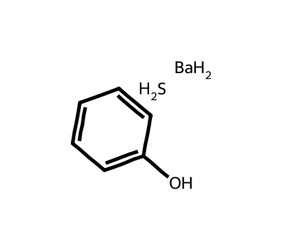 Oc1ccccc1.S.[BaH2]